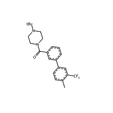 Cc1ccc(-c2cccc(C(=O)N3CCN(C(C)(C)C)CC3)c2)cc1C(F)(F)F